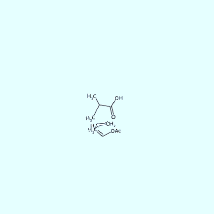 C=C.C=COC(C)=O.CC(C)C(=O)O